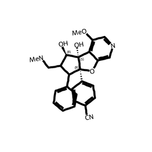 CNCC1C(c2ccccc2)[C@]2(c3ccc(C#N)cc3)Oc3cncc(OC)c3[C@]2(O)[C@@H]1O